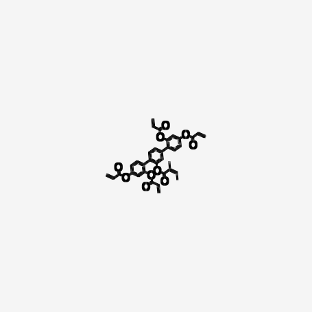 C=CC(=O)Oc1ccc(-c2ccc(-c3ccc(OC(=O)C=C)cc3OC(=O)C=C)c(OC(=O)/C(C)=C\C)c2)c(OC(=O)C=C)c1